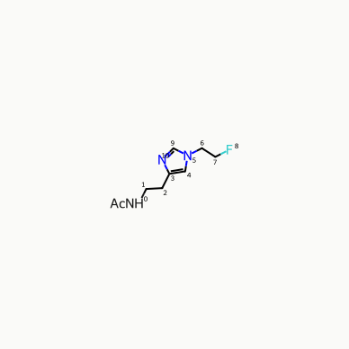 CC(=O)NCCc1cn(CCF)cn1